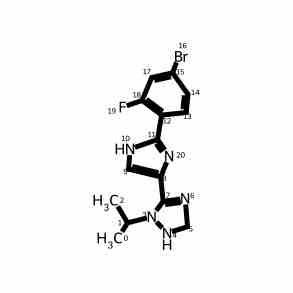 CC(C)N1NCN=C1c1c[nH]c(-c2ccc(Br)cc2F)n1